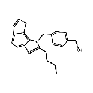 CCCCc1nc2cnc3ccsc3c2n1Cc1ccc(CO)cc1